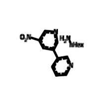 CCCCCCN.O=[N+]([O-])c1cncc(-c2cccnc2)c1